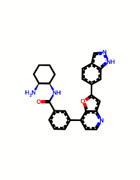 N[C@H]1CCCC[C@H]1NC(=O)c1cccc(-c2ccnc3cc(-c4ccc5cn[nH]c5c4)oc23)c1